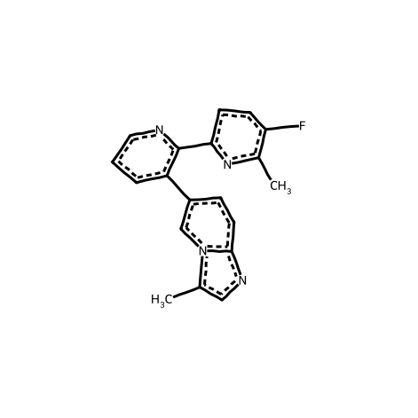 Cc1nc(-c2ncccc2-c2ccc3ncc(C)n3c2)ccc1F